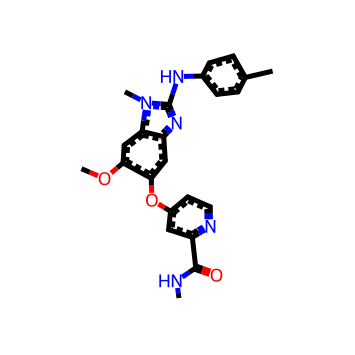 CNC(=O)c1cc(Oc2cc3nc(Nc4ccc(C)cc4)n(C)c3cc2OC)ccn1